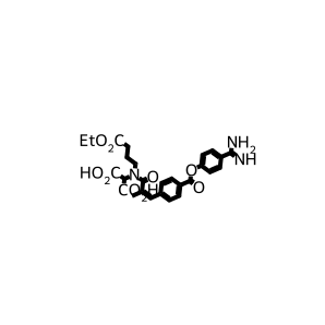 CCOC(=O)CCCN(C(=O)C(C)=Cc1ccc(C(=O)Oc2ccc(C(=N)N)cc2)cc1)C(C(=O)O)C(=O)O